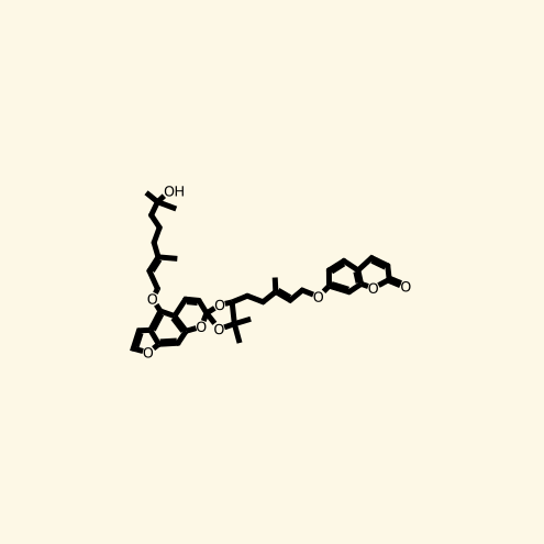 C/C(=C\COc1c2c(cc3occc13)OC1(C=C2)OC(CC/C(C)=C/COc2ccc3ccc(=O)oc3c2)C(C)(C)O1)CCCC(C)(C)O